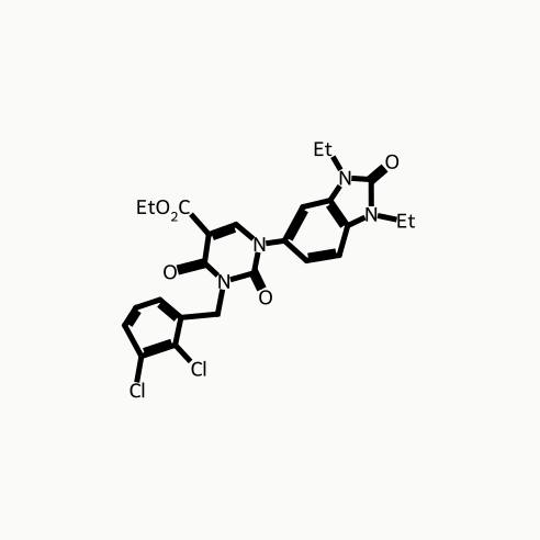 CCOC(=O)c1cn(-c2ccc3c(c2)n(CC)c(=O)n3CC)c(=O)n(Cc2cccc(Cl)c2Cl)c1=O